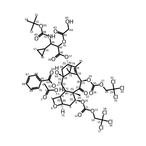 CC(=O)O[C@@]12CO[C@@H]1C[C@H](OC(=O)OCC(Cl)(Cl)Cl)[C@@]1(C)C(=O)[C@H](OC(=O)OCC(Cl)(Cl)Cl)C3=C(C)[C@@H](OC(=O)C(OC(=O)CO)C(NC(=O)OC(C)(C)C)C4CC4)C[C@@](O)([C@@H](OC(=O)c4ccccc4)[C@H]21)C3(C)C